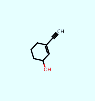 C#CC1=CC(O)CCC1